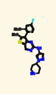 COc1cc(F)ccc1-c1c(SC)sc2cnc(Nc3cnn(C4CCNCC4)c3)nc12